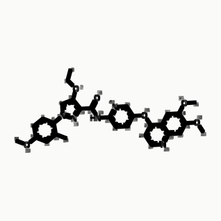 CCOc1cn(-c2ccc(OC)cc2C)nc1C(=O)Nc1ccc(Oc2ccnc3cc(OC)c(OC)cc23)cn1